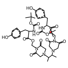 CC(C(C)N1CC(=O)N(COC(=O)C(Cc2ccc(O)cc2)NC(=O)OC(C)(C)C)C(=O)C1)N1CC(=O)N(COC(=O)C(Cc2ccc(O)cc2)NC(=O)OC(C)(C)C)C(=O)C1